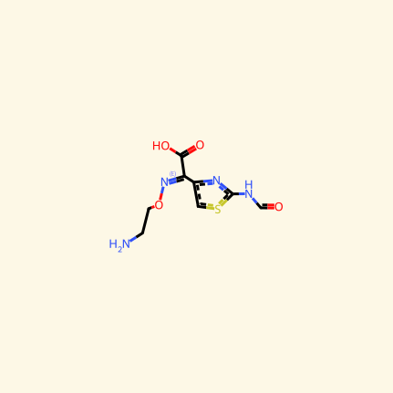 NCCO/N=C(/C(=O)O)c1csc(NC=O)n1